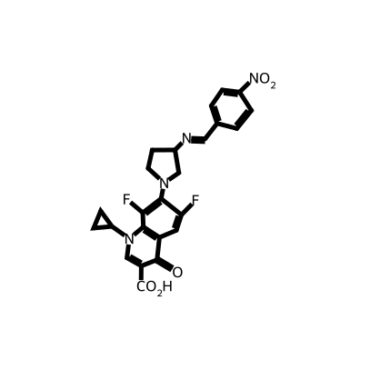 O=C(O)c1cn(C2CC2)c2c(F)c(N3CCC(N=Cc4ccc([N+](=O)[O-])cc4)C3)c(F)cc2c1=O